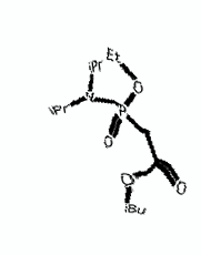 CCOP(=O)(CC(=O)OC(C)CC)N(C(C)C)C(C)C